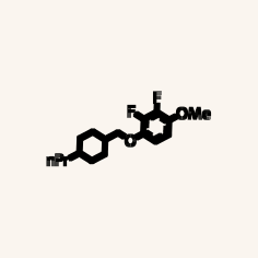 CCCC1CCC(COc2ccc(OC)c(F)c2F)CC1